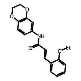 CCOc1ccccc1C=CC(=O)Nc1ccc2c(c1)OCCO2